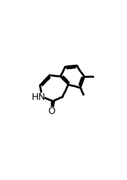 Cc1ccc2c(c1C)CC(=O)NC=C2